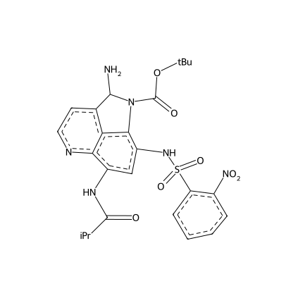 CC(C)C(=O)Nc1cc(NS(=O)(=O)c2ccccc2[N+](=O)[O-])c2c3c(ccnc13)C(N)N2C(=O)OC(C)(C)C